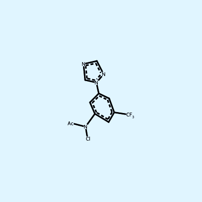 CC(=O)N(Cl)c1cc(-n2cncn2)cc(C(F)(F)F)c1